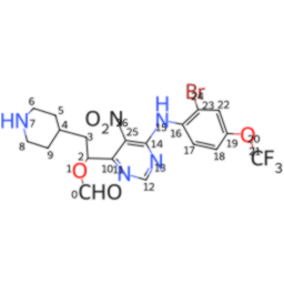 O=COC(CC1CCNCC1)c1ncnc(Nc2ccc(OC(F)(F)F)cc2Br)c1[N+](=O)[O-]